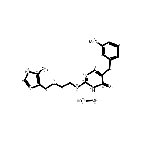 COc1cccc(Cc2nnc(NCCSCc3nc[nH]c3C)[nH]c2=O)c1.O=S(=O)(O)O